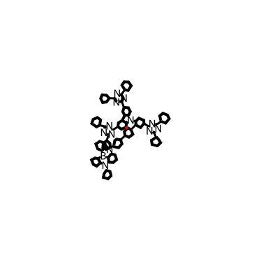 c1ccc(-c2nc(-c3ccccc3)nc(-c3ccc(-n4c5ccc(-c6nc(-c7ccccc7)nc(-c7ccccc7)n6)cc5c5cc(-c6nc(-c7ccccc7)nc(-c7ccccc7)n6)ccc54)c(-c4ccc(-c5ccc(N6c7ccccc7B7c8ccccc8N(c8ccccc8)c8cccc6c87)cc5)cc4)c3)n2)cc1